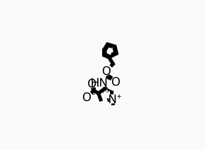 CC(C(=O)[O-])[C@H](C[N+](C)(C)C)NC(=O)OCc1ccccc1